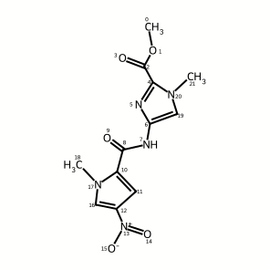 COC(=O)c1nc(NC(=O)c2cc([N+](=O)[O-])cn2C)cn1C